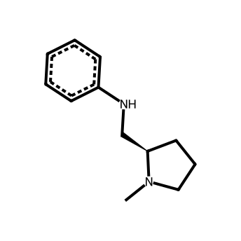 CN1CCC[C@@H]1CNc1ccccc1